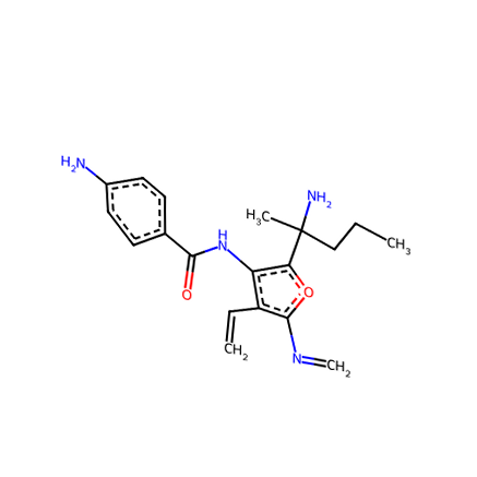 C=Cc1c(N=C)oc(C(C)(N)CCC)c1NC(=O)c1ccc(N)cc1